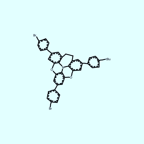 CC(C)(C)c1ccc(-c2cc3c4c(c2)Oc2cc(-c5ccc(Br)cc5)cc5c2N4c2c(cc(-c4ccc(Br)cc4)cc2O5)CC3)cc1